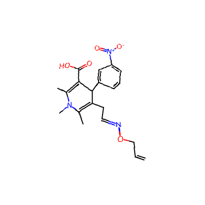 C=CCON=CCC1=C(C)N(C)C(C)=C(C(=O)O)C1c1cccc([N+](=O)[O-])c1